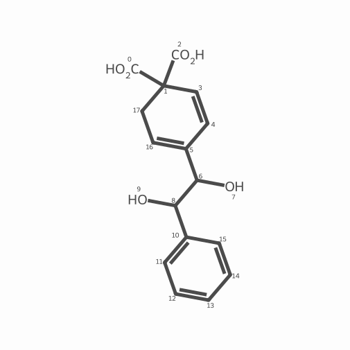 O=C(O)C1(C(=O)O)C=CC(C(O)C(O)c2ccccc2)=CC1